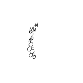 CN(C)Cc1noc(CCO/N=C2/C=C3CCC4C(CC[C@]5(C)C(=O)CCC45)[C@@]3(C)CC2)n1